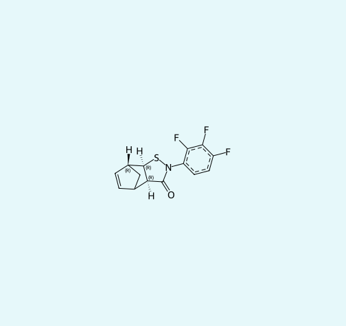 O=C1[C@H]2C3C=C[C@@H](C3)[C@H]2SN1c1ccc(F)c(F)c1F